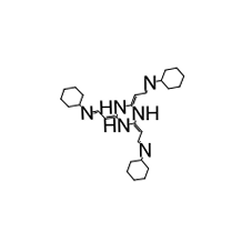 C(C=C1NC(=CC=NC2CCCCC2)NC(=CC=NC2CCCCC2)N1)=NC1CCCCC1